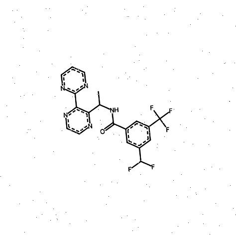 CC(NC(=O)c1cc(C(F)F)cc(C(F)(F)F)c1)c1nccnc1-c1ncccn1